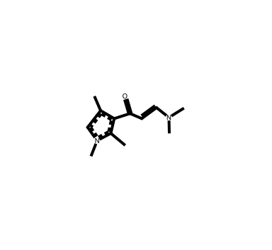 Cc1cn(C)c(C)c1C(=O)/C=C/N(C)C